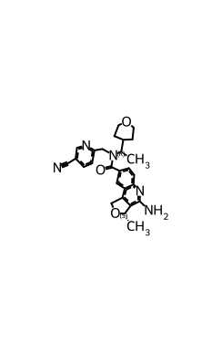 C[C@@H]1OCc2c1c(N)nc1ccc(C(=O)N(Cc3ccc(C#N)cn3)[C@H](C)C3CCOCC3)cc21